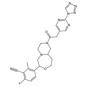 Cc1c(C2CN3CCN(C(=O)Cc4cnc(-n5cnnn5)nc4)CC3CCO2)ccc(F)c1C#N